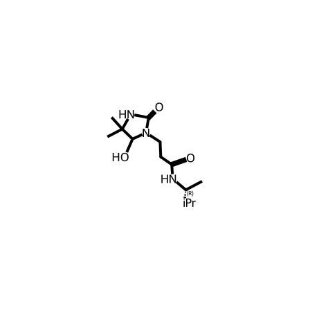 CC(C)[C@@H](C)NC(=O)CCN1C(=O)NC(C)(C)C1O